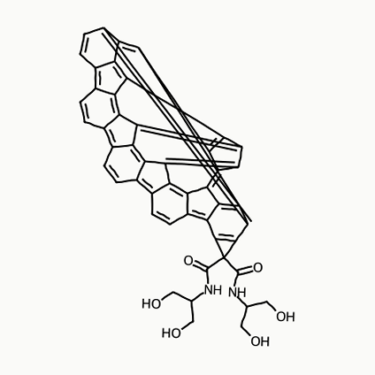 O=C(NC(CO)CO)C1(C(=O)NC(CO)CO)c2c1c1c3ccc4c5ccc6c7ccc8c9ccc%10c2c2c1c1c3c4c3c5c6c4c7c8c5c9c%10c2c2c5c4c3c12